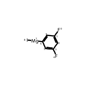 Fc1cc(F)c[c]([Mg][I])c1